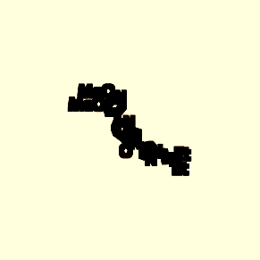 CCN(CC)CCn1cc(N2Cc3nc(-c4cnc(OC)c(OC)c4)ccc3C2=O)cn1